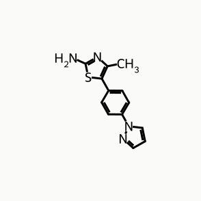 Cc1nc(N)sc1-c1ccc(-n2cccn2)cc1